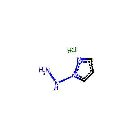 Cl.NNn1cccn1